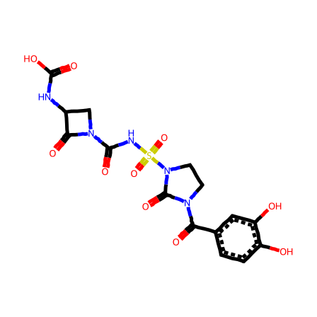 O=C(O)NC1CN(C(=O)NS(=O)(=O)N2CCN(C(=O)c3ccc(O)c(O)c3)C2=O)C1=O